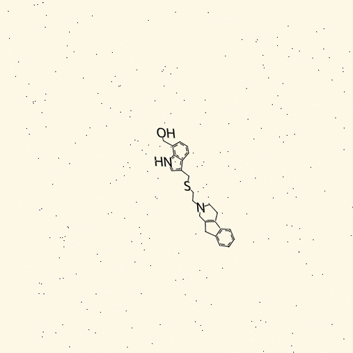 OCc1cccc2c(CSCCN3CCC4=C(Cc5ccccc54)C3)c[nH]c12